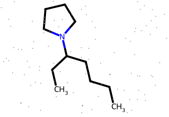 CCCCC(CC)N1CCCC1